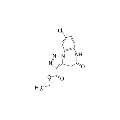 CCOC(=O)c1nnn2c1CC(=O)Nc1ccc(Cl)cc1-2